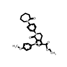 CCOC(=O)c1nn(-c2ccc(OC)cc2)c2c1CCN(c1ccc(N3CCCCCC3=O)cc1)C2=O